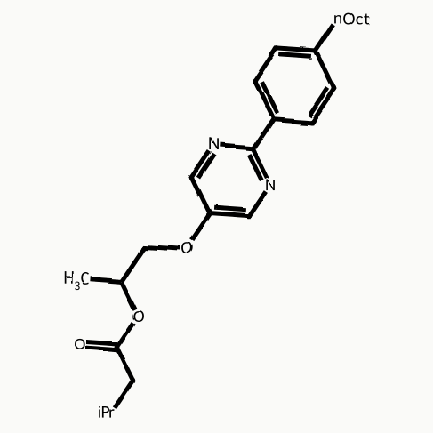 CCCCCCCCc1ccc(-c2ncc(OCC(C)OC(=O)CC(C)C)cn2)cc1